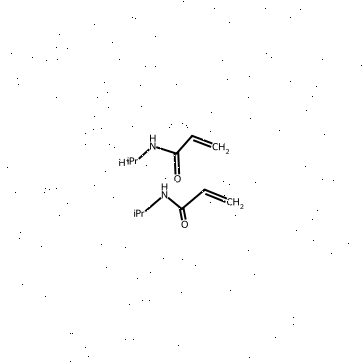 C=CC(=O)NC(C)C.C=CC(=O)NC(C)C.[H+]